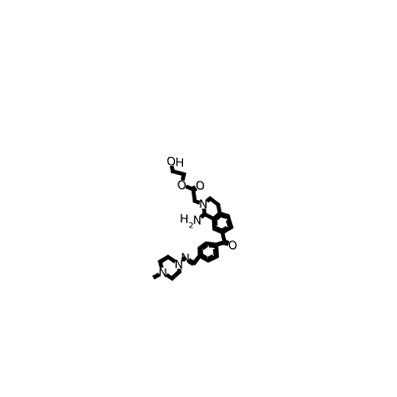 CN1CCN(N=Cc2ccc(C(=O)c3ccc4c(c3)C(N)N(CC(=O)OCCO)CC4)cc2)CC1